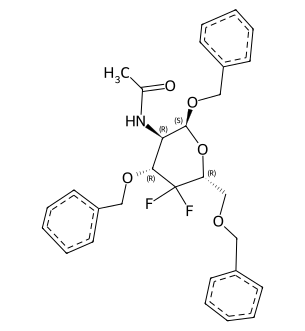 CC(=O)N[C@H]1[C@@H](OCc2ccccc2)O[C@H](COCc2ccccc2)C(F)(F)[C@@H]1OCc1ccccc1